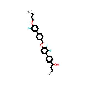 C=CCCOc1ccc(C2CCC(COc3ccc(-c4ccc(C(O)CCC)cc4)c(F)c3F)CC2)cc1F